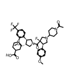 COC[C@H]1CN(C(=O)[C@]2(F)CN(C3CCN(C(C)=O)CC3)C[C@H]2c2ccc(OC)cc2)C[C@@H]1c1ccc(C(F)(F)F)cc1N1CCC(C(=O)O)CC1